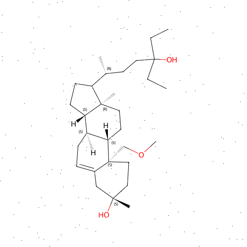 CCC(O)(CC)CC[C@@H](C)C1CC[C@H]2[C@@H]3CC=C4C[C@@](C)(O)CC[C@]4(COC)[C@H]3CC[C@]12C